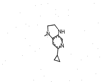 CN1CCNc2cnc(C3CC3)cc21